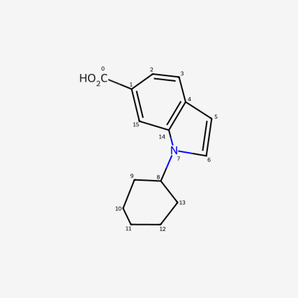 O=C(O)c1ccc2ccn(C3CCCCC3)c2c1